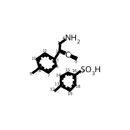 C=C=C(CN)c1ccc(C)cc1.Cc1ccc(S(=O)(=O)O)cc1